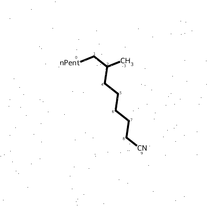 CCCCCCC(C)CCCCCC#N